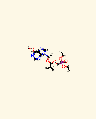 CCOP(=O)(CO[C@@H](O[C@H](C)n1cnc2c(OC)ncnc21)C(C)C)OCC